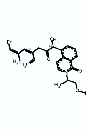 C=C/C(=C\C(C)=C/CC)CC(=O)[C@@H](C)c1cccc2c(=O)n(C(C)COI)ccc12